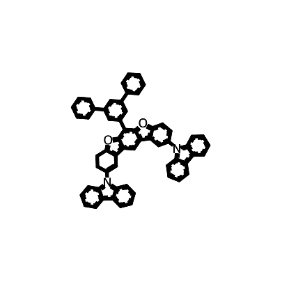 C1=C(n2c3ccccc3c3ccccc32)CCc2oc3c(-c4cc(-c5ccccc5)cc(-c5ccccc5)c4)c4oc5ccc(-n6c7ccccc7c7ccccc76)cc5c4cc3c21